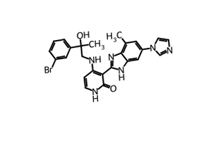 Cc1cc(-n2ccnc2)cc2[nH]c(-c3c(NCC(C)(O)c4cccc(Br)c4)cc[nH]c3=O)nc12